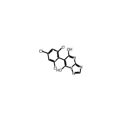 Oc1nc2ncnn2c(O)c1-c1c(Cl)cc(Cl)cc1Cl